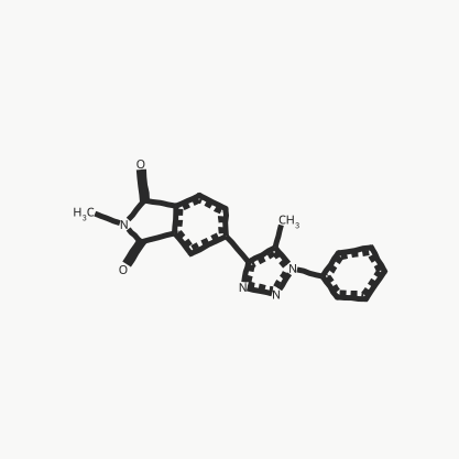 Cc1c(-c2ccc3c(c2)C(=O)N(C)C3=O)nnn1-c1ccccc1